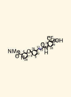 CNC(=O)c1cc(Oc2cccc(/C=C/C(=O)Nc3ccc(CO)c(C(F)(F)F)c3)c2)ccn1